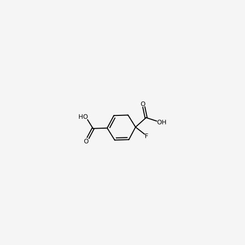 O=C(O)C1=CCC(F)(C(=O)O)C=C1